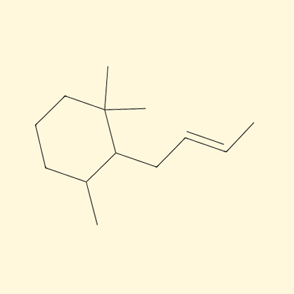 CC=CCC1C(C)CCCC1(C)C